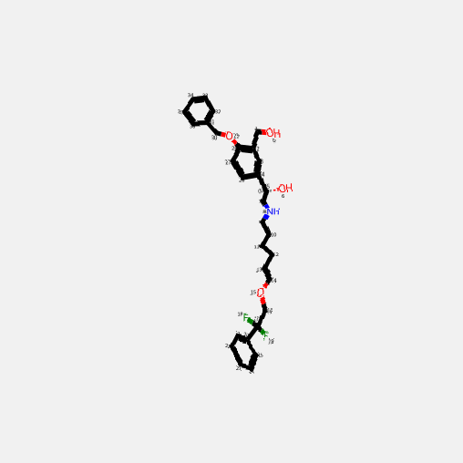 OCc1cc([C@H](O)CNCCCCCCOCC(F)(F)c2ccccc2)ccc1OCc1ccccc1